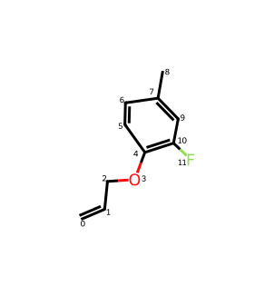 C=CCOc1ccc(C)cc1F